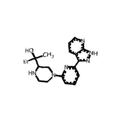 CCC(C)(O)C1CN(c2cccc(-c3n[nH]c4ncccc34)n2)CCN1